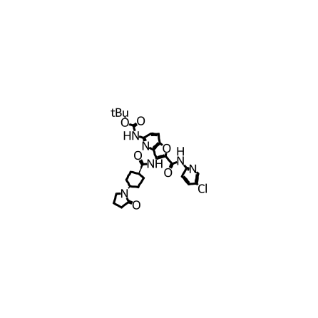 CC(C)(C)OC(=O)Nc1ccc2oc(C(=O)Nc3ccc(Cl)cn3)c(NC(=O)[C@H]3CC[C@H](N4CCCC4=O)CC3)c2n1